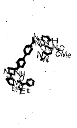 CCN(CC)[C@H](C(=O)N1CCC[C@H]1c1ncc(-c2ccc(-c3ccc(-c4cnc([C@@H]5CCCN5C(=O)[C@H](Cc5cncn5C)NC(=O)OC)[nH]4)cc3)cc2)[nH]1)c1ccccc1